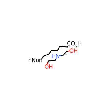 CCCCCCCCCCCCCCCC(=O)O.OCCNCCO